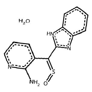 Nc1ncccc1C(=S=O)c1nc2ccccc2[nH]1.O